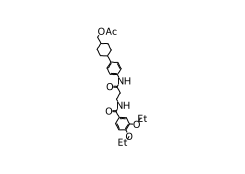 CCOc1ccc(C(=O)NCCC(=O)Nc2ccc(C3CCC(COC(C)=O)CC3)cc2)cc1OCC